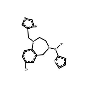 N#Cc1ccc2c(c1)CN([S+]([O-])c1cccs1)CCN2Cc1cnc[nH]1